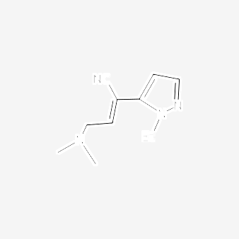 CCn1nccc1/C(C#N)=C/CN(C)C